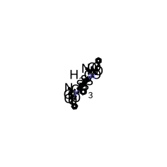 CC1=C(C#N)C(=O)N(C(=O)OCc2ccccc2)C(=O)/C1=C/C1=Cc2sc3c(sc4c5sc(/C=C6/C(=O)N(C(=O)OCc7ccccc7)C(=O)C(C#N)=C6C)cc5sc34)c2C12CCCCC2